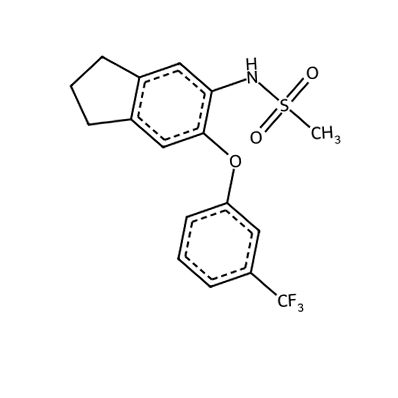 CS(=O)(=O)Nc1cc2c(cc1Oc1cccc(C(F)(F)F)c1)CCC2